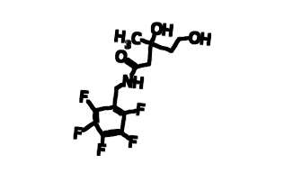 CC(O)(CCO)CC(=O)NCc1c(F)c(F)c(F)c(F)c1F